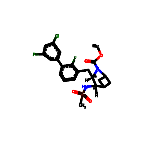 CC(C)(C)OC(=O)N1C2CC(C2)[C@H](NS(C)(=O)=O)[C@@H]1Cc1cccc(-c2cc(F)cc(Cl)c2)c1F